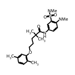 CNc1ccc(NC(=O)C(C)(C)CCCOc2cc(C)ccc2C)cc1S(=O)(=O)NC